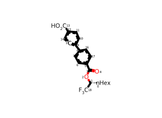 CCCCCC[C@@H](OC(=O)c1ccc(-c2ccc(C(=O)O)cc2)cc1)C(F)(F)F